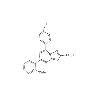 COc1ccccc1-c1cc(-c2ccc(Cl)cc2)n2nc(C(=O)O)cc2n1